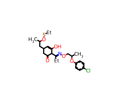 CCSOC(C)CC1C=C(O)C(C(CC)=NOCC(C)Oc2ccc(Cl)cc2)C(=O)C1